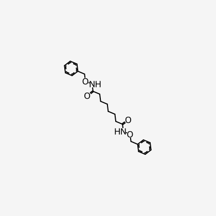 O=C(CCCCCCC(=O)NOCc1ccccc1)NOCc1ccccc1